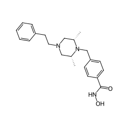 C[C@@H]1CN(CCc2ccccc2)C[C@H](C)N1Cc1ccc(C(=O)NO)cc1